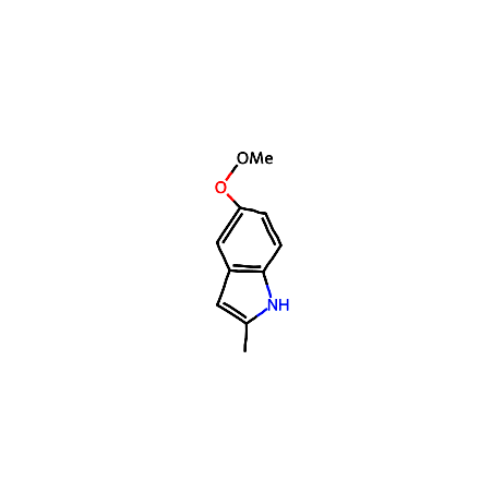 COOc1ccc2[nH]c(C)cc2c1